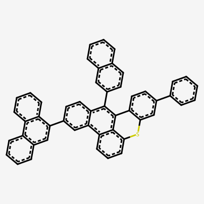 c1ccc(-c2ccc3c(c2)Sc2cccc4c2c-3c(-c2ccc3ccccc3c2)c2ccc(-c3cc5ccccc5c5ccccc35)cc24)cc1